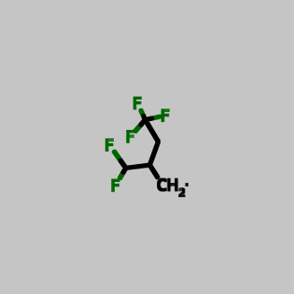 [CH2]C(CC(F)(F)F)C(F)F